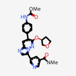 CNC(=O)c1cncc(-c2cnc3cc(-c4ccc(NC(=O)OC)cc4)c(O[C@H]4CCOC4)nn23)c1